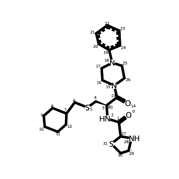 O=C(N[C@@H](CSCC1CCCCC1)C(=O)N1CCN(c2ccccc2)CC1)C1N[CH]CS1